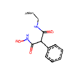 CCCCCCCCCCNC(=O)C(C(=O)NO)c1ccccc1